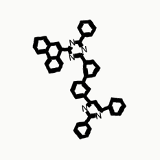 c1ccc(-c2cc(-c3cccc(-c4cccc(-c5nc(-c6ccccc6)nc(-c6cc7ccccc7c7ccccc67)n5)c4)c3)nc(-c3ccccc3)n2)cc1